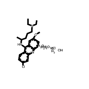 CCN(CC)CCCC(C)Nc1c2ccc(Cl)cc2nc2ccc(OC)cc12.Cl.Cl.O.O.O.O